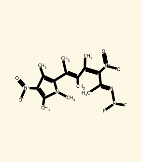 CC(=N\B(F)F)/C(=C(C)\C(C)=C(/C)c1c(C)c([N+](=O)[O-])c(C)n1C)[N+](=O)[O-]